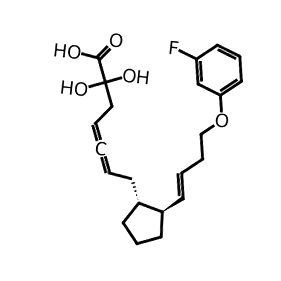 O=C(O)C(O)(O)CC=C=CC[C@H]1CCC[C@@H]1/C=C/CCOc1cccc(F)c1